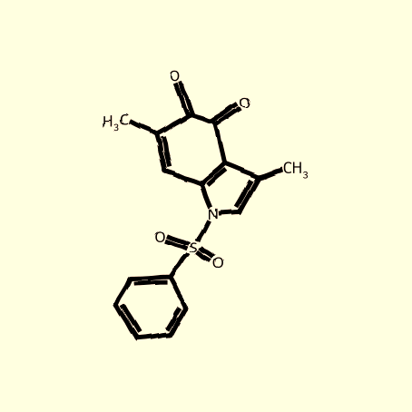 CC1=Cc2c(c(C)cn2S(=O)(=O)c2ccccc2)C(=O)C1=O